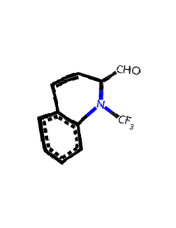 O=CC1C=Cc2ccccc2N1C(F)(F)F